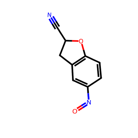 N#CC1Cc2cc(N=O)ccc2O1